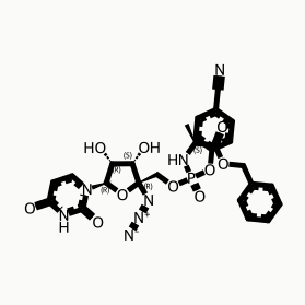 C[C@H](NP(=O)(OC[C@@]1(N=[N+]=[N-])O[C@@H](n2ccc(=O)[nH]c2=O)[C@H](O)[C@@H]1O)Oc1ccc(C#N)cc1)C(=O)OCc1ccccc1